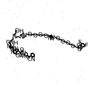 COc1cnc(-n2cnc(C(=O)NCCCN(CCCO)CCCN3CCN(CCOCCOCCOCCOCc4cn(CCOCCOCCOCCOCCC(=O)Oc5c(F)cc(F)cc5F)nn4)CC3)n2)c2[nH]cc(C(=O)C(=O)N3CCC(=C(C#N)c4ccccc4)CC3)c12